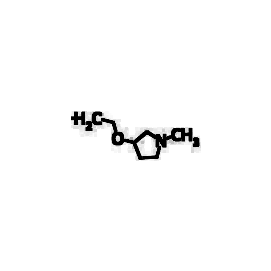 [CH2]COC1CCN(C)C1